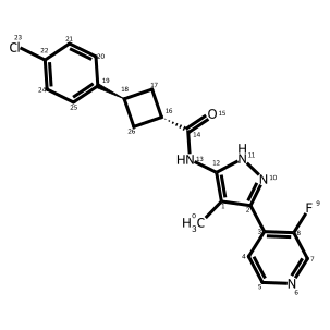 Cc1c(-c2ccncc2F)n[nH]c1NC(=O)[C@H]1C[C@H](c2ccc(Cl)cc2)C1